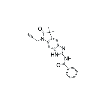 C#CCN1C(=O)C(C)(C)c2cc3nc(NC(=O)c4ccccc4)[nH]c3cc21